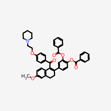 COc1ccc2c(c1)CCC(c1ccc(OC(=O)c3ccccc3)c(OC(=O)c3ccccc3)c1)=C2C(=O)c1ccc(OCCN2CCCCC2)cc1